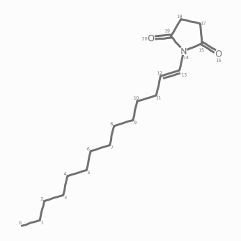 CCCCCCCCCCCC/C=C/N1C(=O)CCC1=O